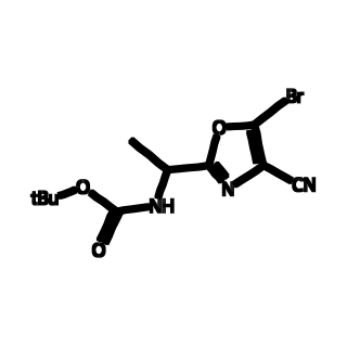 CC(NC(=O)OC(C)(C)C)c1nc(C#N)c(Br)o1